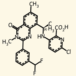 Cc1cc([C@@H](C)Nc2ccc(Cl)nc2C(=O)O)c2nc(-c3cccc(C(F)F)c3)n(C)c(=O)c2c1